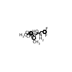 CC1CCC(NC[C@@H](O)[C@@H](N)Cc2cc(F)cc(F)c2)(c2cccc(C(C)(C)C)c2)CC1